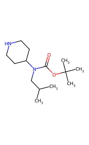 CC(C)CN(C(=O)OC(C)(C)C)C1CCNCC1